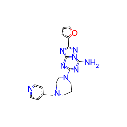 Nc1nc(N2CCCN(Cc3ccncc3)CC2)nc2nc(-c3ccco3)nn12